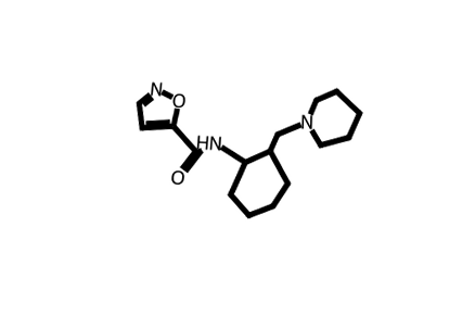 O=C(NC1CCCCC1CN1CCCCC1)c1ccno1